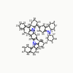 c1ccc(-n2c3ccccc3c3cc(-c4cccc5c6c7ccccc7cc7c8cc9c(cc8n(c45)c76)c4cccc5c6ccc7ccccc7c6n9c45)ccc32)cc1